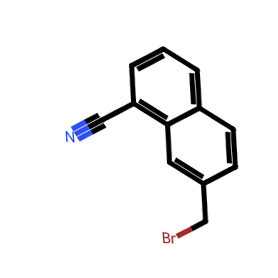 N#Cc1cccc2ccc(CBr)cc12